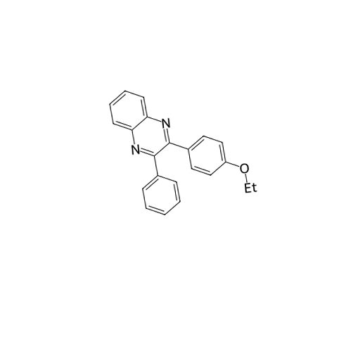 CCOc1ccc(-c2nc3ccccc3nc2-c2ccccc2)cc1